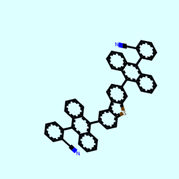 N#Cc1ccccc1-c1c2ccccc2c(-c2ccc3c(c2)sc2ccc(-c4c5ccccc5c(-c5ccccc5C#N)c5ccccc45)cc23)c2ccccc12